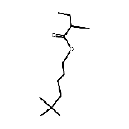 CCC(C)C(=O)OCCCCC(C)(C)C